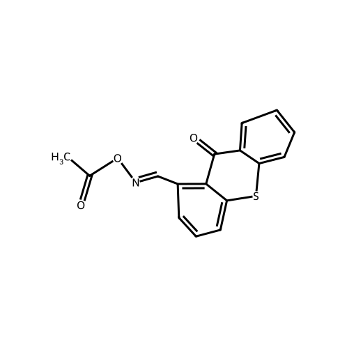 CC(=O)ON=Cc1cccc2sc3ccccc3c(=O)c12